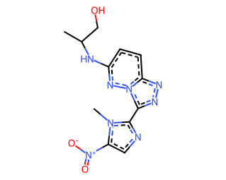 CC(CO)Nc1ccc2nnc(-c3ncc([N+](=O)[O-])n3C)n2n1